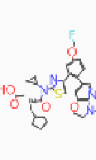 CN1CCOc2cc(-c3ccc(OCF)cc3-c3csc(N(C(=O)[C@@H](CC(=O)O)CC4CCCC4)C4CC4)n3)cnc21